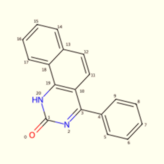 O=c1nc(-c2ccccc2)c2ccc3ccccc3c2[nH]1